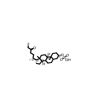 C[C@H](CCC(=O)CF)[C@H]1CC[C@H]2C3CCC4C[C@H](OS(=O)(=O)O)CCC4(C)[C@H]3CCC12C